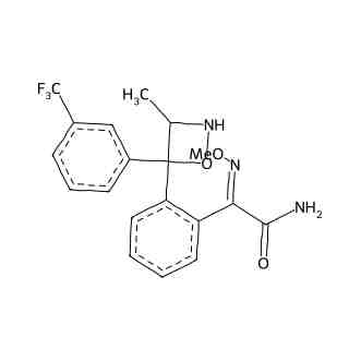 CO/N=C(/C(N)=O)c1ccccc1C1(c2cccc(C(F)(F)F)c2)ONC1C